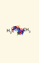 CCNc1cc[nH]c(=O)c1C(=O)N(c1ccc(F)cc1)c1cc(F)c(Oc2ccnc(NC(C)=O)c2)cc1F